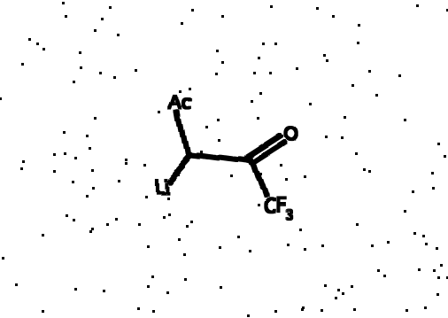 [Li][CH](C(C)=O)C(=O)C(F)(F)F